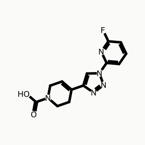 O=C(O)N1CC=C(c2cn(-c3cccc(F)n3)nn2)CC1